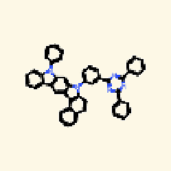 c1ccc(-c2nc(-c3ccccc3)nc(-c3cccc(-n4c5cc6c(cc5c5c7ccccc7ccc54)c4ccccc4n6-c4ccccc4)c3)n2)cc1